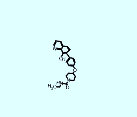 CCNC(=O)N1CCC(Oc2ccc(-c3ccc4cccnc4c3C)cc2)CC1